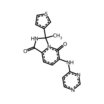 CC1(c2ccsc2)NC(=O)c2ccc(Nc3ccncn3)c(=O)n21